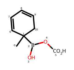 CC1(B(O)OC(=O)O)C=CC=CC1